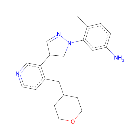 Cc1ccc(N)cc1N1CC(c2cnccc2CC2CCOCC2)C=N1